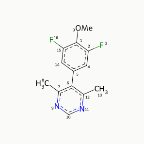 COc1c(F)cc(-c2c(C)ncnc2C)cc1F